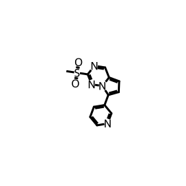 CS(=O)(=O)c1ncc2ccc(-c3cccnc3)n2n1